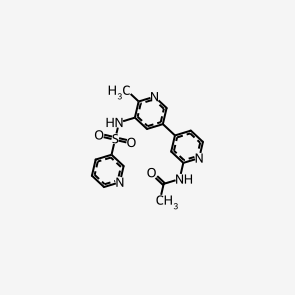 CC(=O)Nc1cc(-c2cnc(C)c(NS(=O)(=O)c3cccnc3)c2)ccn1